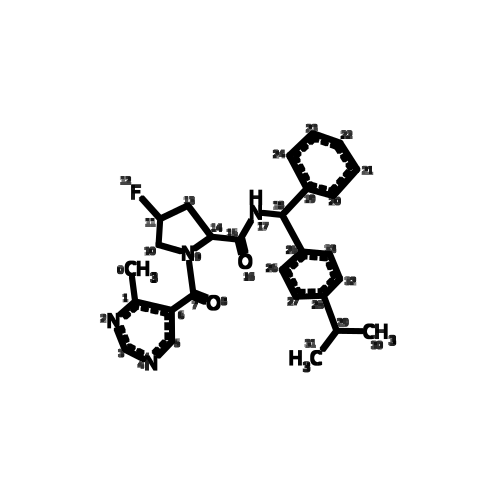 Cc1ncncc1C(=O)N1CC(F)CC1C(=O)NC(c1ccccc1)c1ccc(C(C)C)cc1